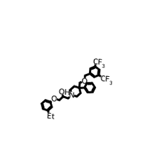 CCc1cccc(OCC(O)CN2CCC(COCc3cc(C(F)(F)F)cc(C(F)(F)F)c3)(c3ccccc3)CC2)c1